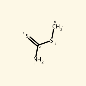 [CH2]SC(N)=S